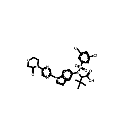 CC(C)(C)C(C(=O)O)N(c1ccc2c(ccn2-c2cnc(N3CCOCC3=O)cn2)c1)S(=O)(=O)c1cc(Cl)cc(Cl)c1